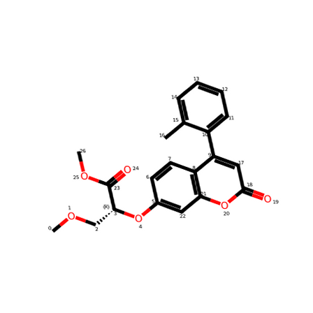 COC[C@@H](Oc1ccc2c(-c3ccccc3C)cc(=O)oc2c1)C(=O)OC